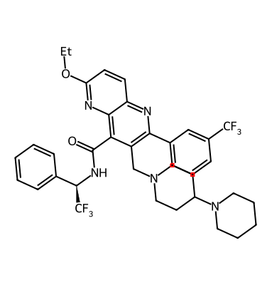 CCOc1ccc2nc(-c3cccc(C(F)(F)F)c3)c(CN3CCC(N4CCCCC4)CC3)c(C(=O)N[C@H](c3ccccc3)C(F)(F)F)c2n1